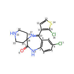 O=C1Nc2ccc(Cl)cc2C(c2ccsc2Cl)=NC12CCNCC2